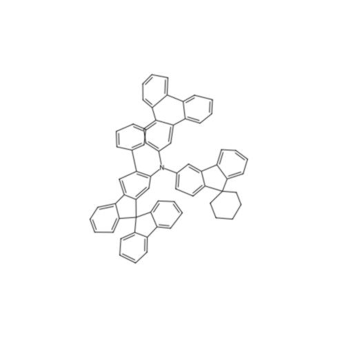 c1ccc(-c2cc3c(cc2N(c2ccc4c(c2)-c2ccccc2C42CCCCC2)c2ccc4c5ccccc5c5ccccc5c4c2)C2(c4ccccc4-c4ccccc42)c2ccccc2-3)cc1